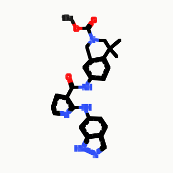 CC(C)(C)OC(=O)N1Cc2cc(NC(=O)c3cccnc3Nc3ccc4cn[nH]c4c3)ccc2C(C)(C)C1